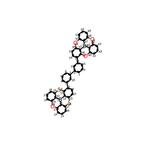 c1cc(-c2cccc(-c3ccc4c5c3Sc3cccc6c3B5c3c(cccc3S4)O6)c2)cc(-c2ccc3c4c2Oc2cccc5c2B4c2c(cccc2O3)O5)c1